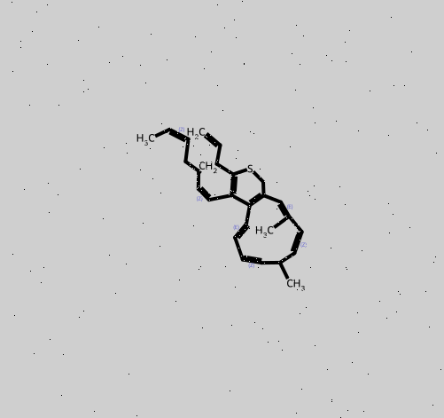 C=CCC1=C(/C=C\C(=C)C/C=C\C)C2=C(/C=C(C)/C=C\C(C)/C=C\C=C\2)CS1